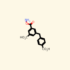 NOC(=O)c1cc(Cc2ccc(C(=O)O)cc2)cc(C(=O)O)c1